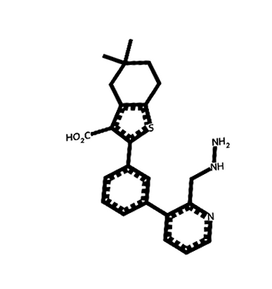 CC1(C)CCc2sc(-c3cccc(-c4cccnc4CNN)c3)c(C(=O)O)c2C1